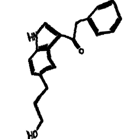 O=C(Cc1ccccc1)c1c[nH]c2ccc(CCCO)cc12